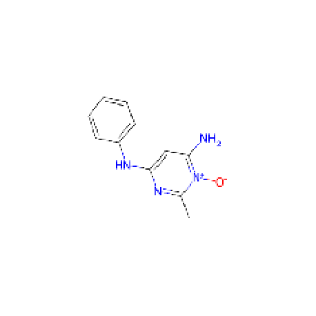 Cc1nc(Nc2ccccc2)cc(N)[n+]1[O-]